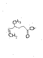 C=CC(C)CCC([O])=O